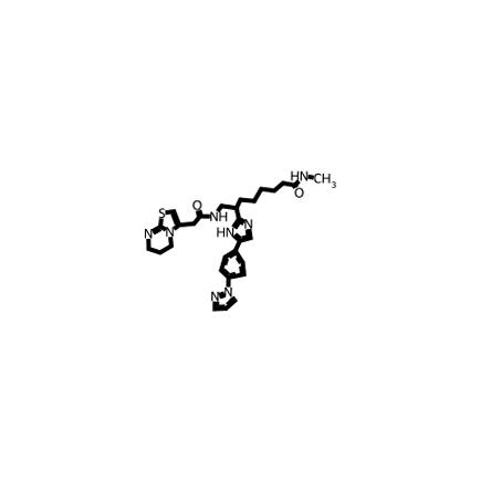 CNC(=O)CCCCCC(CNC(=O)CC1=CSC2=NCCCN12)c1ncc(-c2ccc(-n3cccn3)cc2)[nH]1